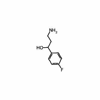 NCCC(O)c1ccc(F)cc1